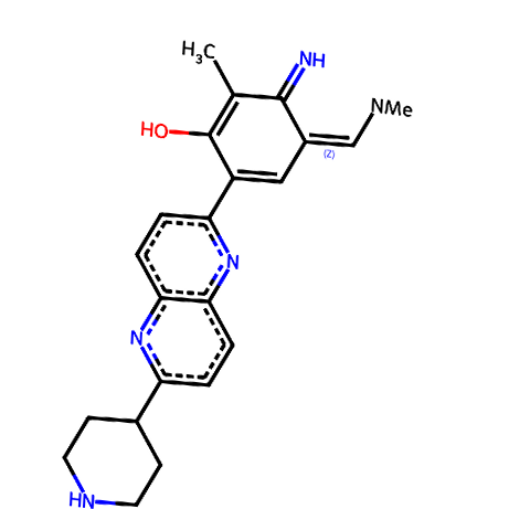 CN/C=C1/C=C(c2ccc3nc(C4CCNCC4)ccc3n2)C(O)=C(C)C1=N